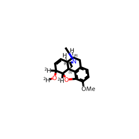 [2H]OC1([2H])C=C[C@H]2[C@H]3Cc4ccc(OC)c5c4[C@@]2(CCN3C)C1([2H])O5